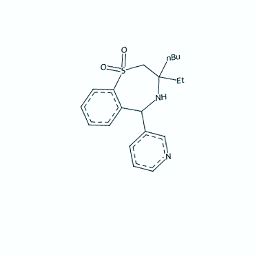 CCCCC1(CC)CS(=O)(=O)c2ccccc2C(c2cccnc2)N1